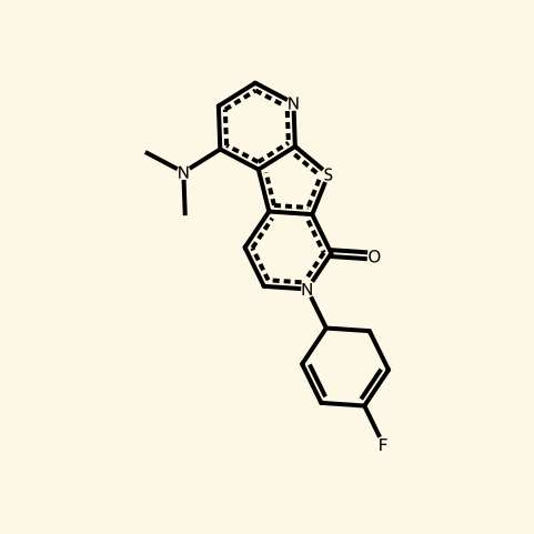 CN(C)c1ccnc2sc3c(=O)n(C4C=CC(F)=CC4)ccc3c12